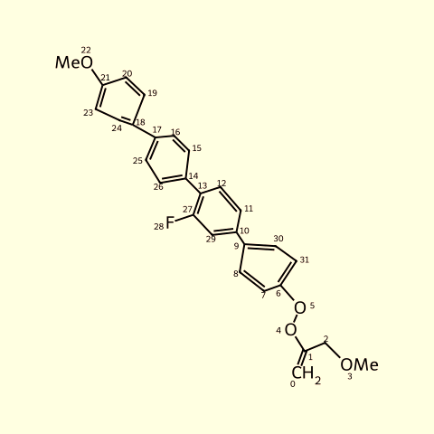 C=C(COC)OOc1ccc(-c2ccc(-c3ccc(-c4ccc(OC)cc4)cc3)c(F)c2)cc1